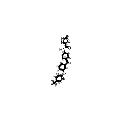 Cc1nnc(C(=O)NC2CCC(=Cc3cccc(Oc4ccc(C(F)(F)F)cn4)c3)CC2)o1